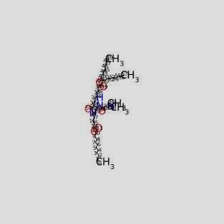 CCCCCCCCCCCOC(=O)CCCCCN1C[C@H](NC(=O)CCN(C)C)C(CCCCCCCC(=O)OC(CCCCCCCC)CCCCCCCC)C1=O